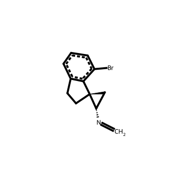 C=N[C@H]1C[C@]12CCc1cccc(Br)c12